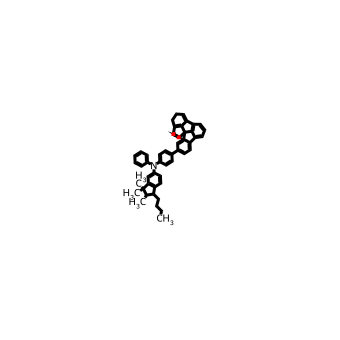 CCCCC1c2ccc(N(c3ccccc3)c3ccc(-c4ccc5c(c4)C46C7=C(CCC=C7c7cccc-5c74)C4C=CCCC46)cc3)cc2C(C)(C)C1C